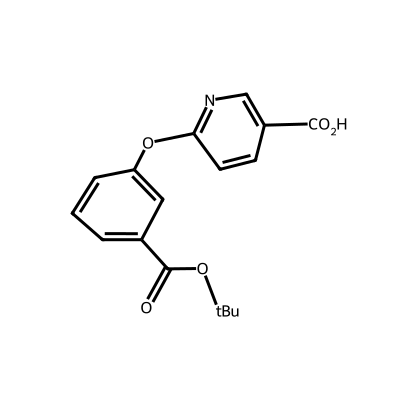 CC(C)(C)OC(=O)c1cccc(Oc2ccc(C(=O)O)cn2)c1